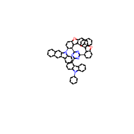 c1ccc(-n2c3ccccc3c3c(-c4nc(-c5cccc6oc7ccccc7c56)nc(-c5c(-n6c7ccccc7c7cc8ccccc8cc76)ccc6oc7cc8ccccc8cc7c56)n4)cccc32)cc1